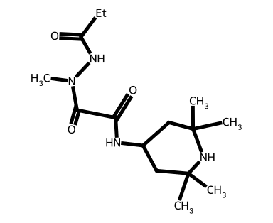 CCC(=O)NN(C)C(=O)C(=O)NC1CC(C)(C)NC(C)(C)C1